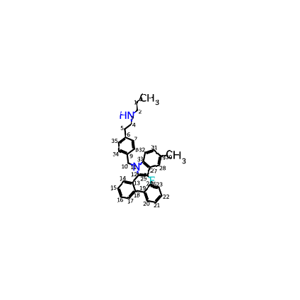 CCCNCCc1ccc(Cn2c(-c3ccccc3-c3ccccc3)c(F)c3cc(C)ccc32)cc1